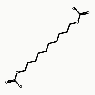 O=C(Cl)OCCCCCCCCCCOC(=O)Cl